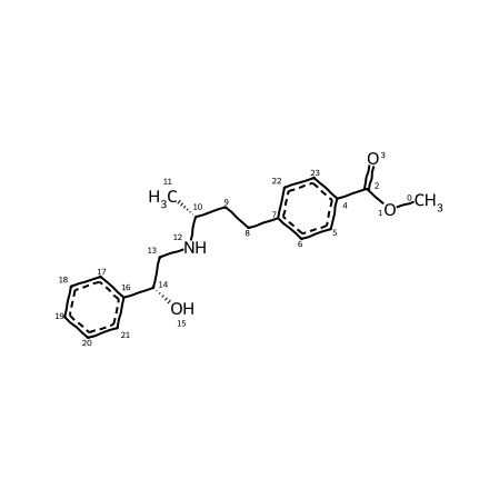 COC(=O)c1ccc(CC[C@@H](C)NC[C@H](O)c2ccccc2)cc1